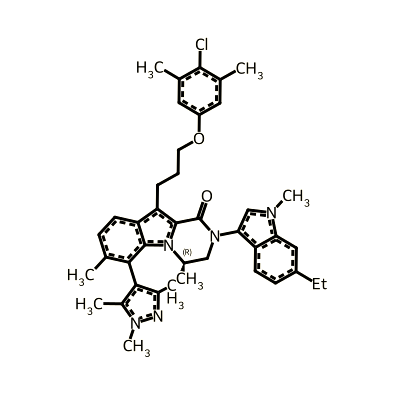 CCc1ccc2c(N3C[C@@H](C)n4c(c(CCCOc5cc(C)c(Cl)c(C)c5)c5ccc(C)c(-c6c(C)nn(C)c6C)c54)C3=O)cn(C)c2c1